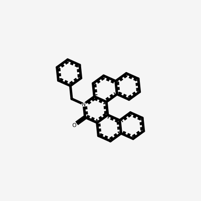 O=c1c2ccc3ccccc3c2c2c3ccccc3ccc2n1Cc1ccccc1